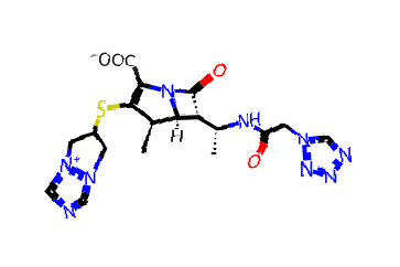 C[C@@H](NC(=O)Cn1cnnn1)[C@H]1C(=O)N2C(C(=O)[O-])=C(SC3Cn4cnc[n+]4C3)[C@H](C)[C@H]12